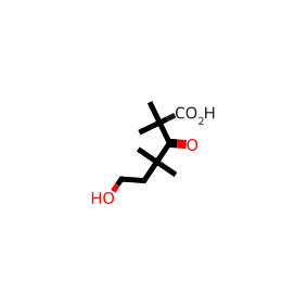 CC(C)(CCO)C(=O)C(C)(C)C(=O)O